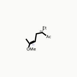 CC[C@@H](C/C=C(\C)OC)C(C)=O